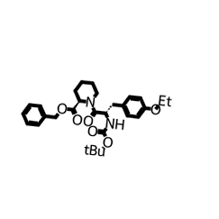 CCOc1ccc(C[C@H](NC(=O)OC(C)(C)C)C(=O)N2CCCC[C@@H]2C(=O)OCc2ccccc2)cc1